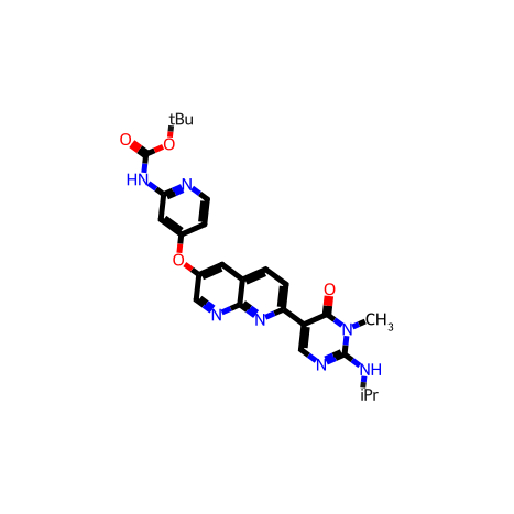 CC(C)Nc1ncc(-c2ccc3cc(Oc4ccnc(NC(=O)OC(C)(C)C)c4)cnc3n2)c(=O)n1C